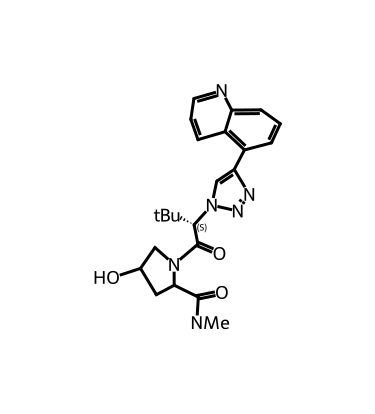 CNC(=O)C1CC(O)CN1C(=O)[C@@H](n1cc(-c2cccc3ncccc23)nn1)C(C)(C)C